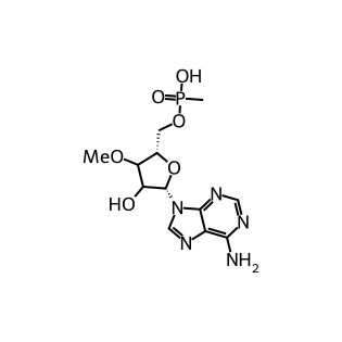 COC1C(O)[C@@H](n2cnc3c(N)ncnc32)O[C@H]1COP(C)(=O)O